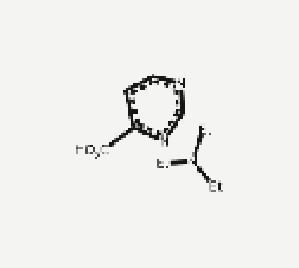 CCN(CC)CC.O=C(O)c1ccncn1